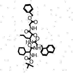 CCCC(NC(=O)[C@H](Cc1cccc2ccccc12)NC(=O)[C@@H](NC(=O)OC(C)(C)C)C1CCCCC1)C(=O)C(=O)NCC(=O)OCc1ccccc1